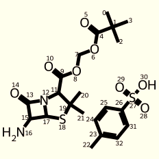 CC(C)(C)C(=O)OCOC(=O)C1N2C(=O)C(N)C2SC1(C)C.Cc1ccc(S(=O)(=O)O)cc1